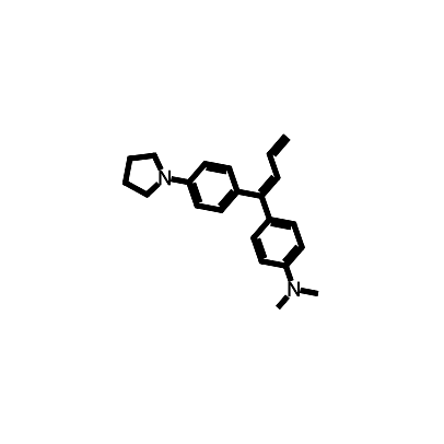 C=CC=C(c1ccc(N(C)C)cc1)c1ccc(N2CCCC2)cc1